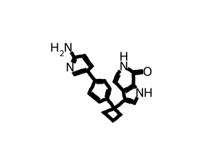 Nc1ccc(-c2ccc(C3(c4c[nH]c5c(=O)[nH]ccc45)CCC3)cc2)cn1